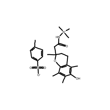 Cc1c(C)c2c(c(C)c1O)CCC(C)(CC(=O)N[N+](C)(C)C)O2.Cc1ccc(S(=O)(=O)[O-])cc1